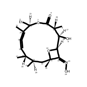 CC[C@H]1OC(=O)[C@H](C)[C@@H](O)[C@@H]2O[C@@](C)(C[C@@H](C)[C@H](C)C=C=C1C)/C2=N\O